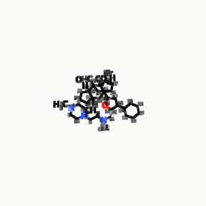 CCN(CCN1CCN(C)CC1)C[C@@H]1O[C@@H](C23C[C@@H]4[C@H](C)CC[C@H]4C4(C=O)CC2C=C(C(C)C)[C@]43C(=O)O)C[C@H]1C1CCCCC1